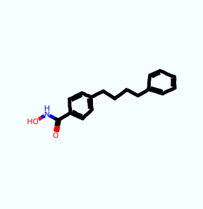 O=C(NO)c1ccc(CCCCc2ccccc2)cc1